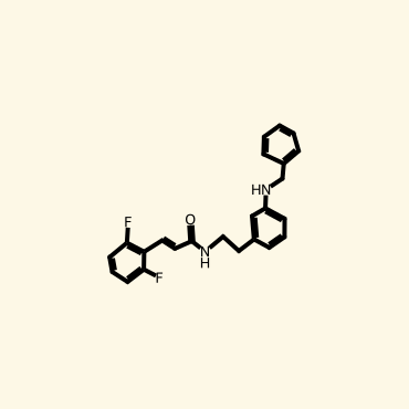 O=C(C=Cc1c(F)cccc1F)NCCc1cccc(NCc2ccccc2)c1